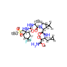 CC(C)(C)C(NC(=O)NC1(CS(=O)(=O)C(C)(C)C)CCC(F)(F)CC1)C(=O)N1CC2C(C1C(=O)NC(CC1CC1)C(=O)C(N)=O)C2(C)C